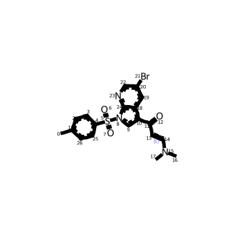 Cc1ccc(S(=O)(=O)n2cc(C(=O)/C=C/N(C)C)c3cc(Br)cnc32)cc1